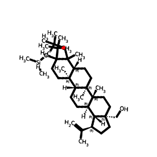 C=C(C)[C@@H]1CC[C@]2(CO)CC[C@]3(C)[C@H](CC[C@@H]4[C@@]5(C)CCC(O[SiH](C)C)(C(C)(C)C)C(C)(CC(C)(C)C)[C@@H]5CC[C@]43C)[C@@H]12